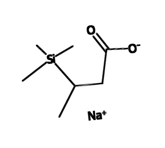 CC(CC(=O)[O-])[Si](C)(C)C.[Na+]